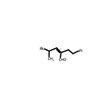 CCC(C)C(C)/C=C(\C=O)CCC(C)C